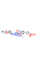 COc1cccc(CCNc2nc(N)c3c(n2)OCCN(c2ccc([C@H]4CC[C@H](CC(=O)O)CC4)cc2)C3=O)c1